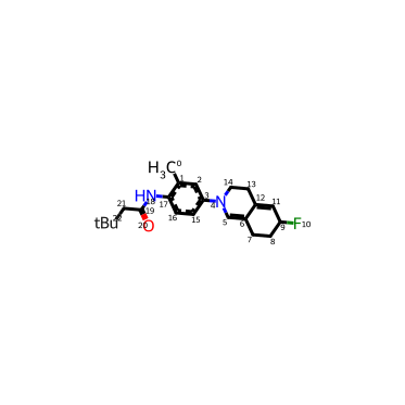 Cc1cc(N2C=C3CCC(F)C=C3CC2)ccc1NC(=O)CC(C)(C)C